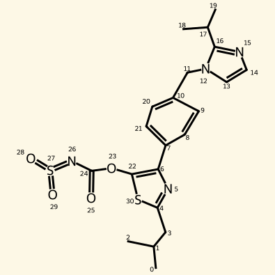 CC(C)Cc1nc(-c2ccc(Cn3ccnc3C(C)C)cc2)c(OC(=O)N=S(=O)=O)s1